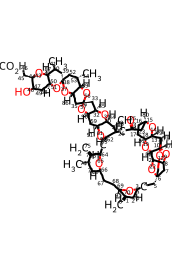 C=C1C[C@@H]2CC[C@@]34CC5O[C@H]6[C@@H](O3)[C@H]3O[C@H](CC[C@@H]3O[C@H]6C5O4)CC(=O)C[C@@H]3[C@@H](C)[C@@H]4O[C@@H]5C[C@]6(C[C@@H]7O[C@]8(C[C@H](C)[C@@H]9O[C@H](CC(=O)O)[C@H](O)C[C@@H]9O8)C[C@H](C)[C@@H]7O6)O[C@@H]5C[C@@H]4O[C@H]3C[C@H]3O[C@@H](CC[C@@H]1O2)C[C@@H](C)C3=C